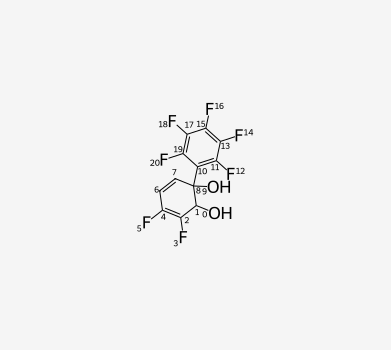 OC1C(F)=C(F)C=CC1(O)c1c(F)c(F)c(F)c(F)c1F